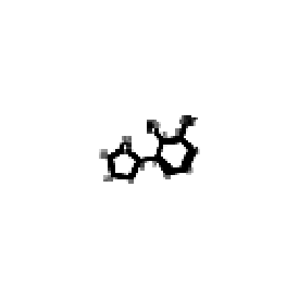 Fc1c(Br)cccc1C1CCCO1